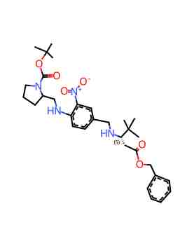 CC(C)(C)OC(=O)N1CCCC1CNc1ccc(CN[C@@H](CC(=O)OCc2ccccc2)C(C)(C)C)cc1[N+](=O)[O-]